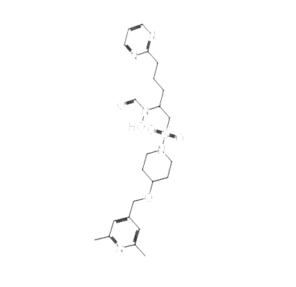 Cc1cc(COC2CCN(S(=O)(=O)CC(CCCc3ncccn3)N(O)C=O)CC2)cc(C)n1